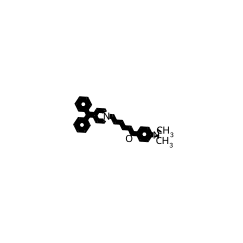 CN(C)c1ccc(C(=O)CCCCCN2CCC(=C(c3ccccc3)c3ccccc3)CC2)cc1